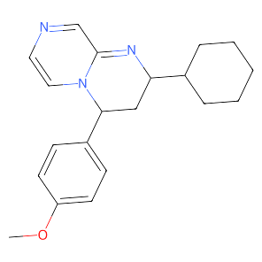 COc1ccc(C2CC(C3CCCCC3)N=C3C=NC=CN32)cc1